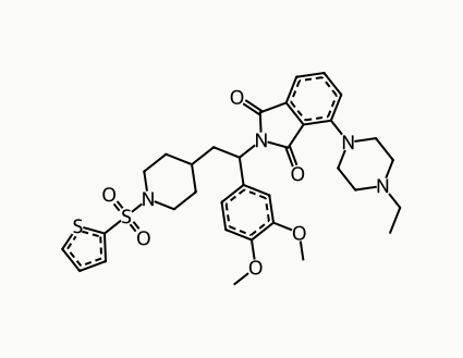 CCN1CCN(c2cccc3c2C(=O)N(C(CC2CCN(S(=O)(=O)c4cccs4)CC2)c2ccc(OC)c(OC)c2)C3=O)CC1